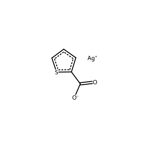 O=C([O-])c1cccs1.[Ag+]